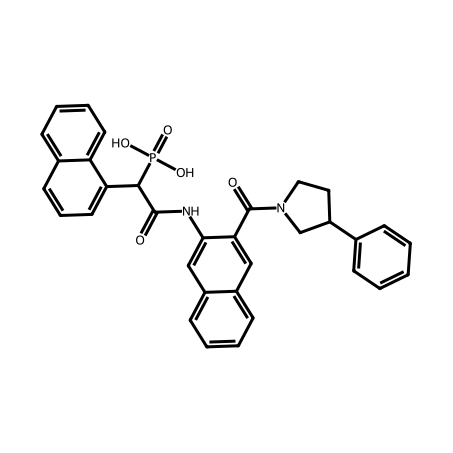 O=C(Nc1cc2ccccc2cc1C(=O)N1CCC(c2ccccc2)C1)C(c1cccc2ccccc12)P(=O)(O)O